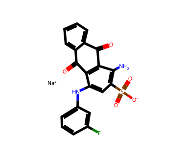 Nc1c(S(=O)(=O)[O-])cc(Nc2cccc(F)c2)c2c1C(=O)c1ccccc1C2=O.[Na+]